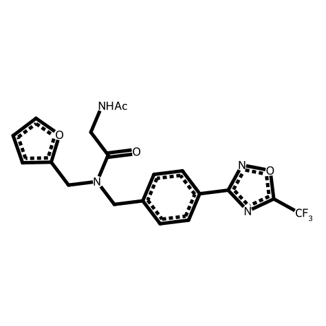 CC(=O)NCC(=O)N(Cc1ccc(-c2noc(C(F)(F)F)n2)cc1)Cc1ccco1